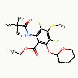 CCOC(=O)c1c(NC(=O)C(C)(C)C)c(F)c(SC)c(F)c1OC1CCCCO1